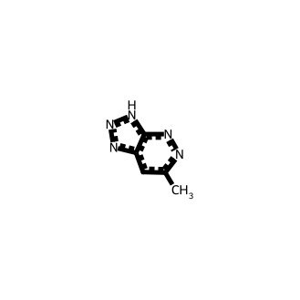 Cc1cc2nn[nH]c2nn1